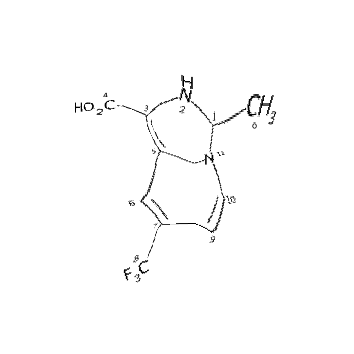 CC1NC(C(=O)O)=C2C=C(C(F)(F)F)C=CN21